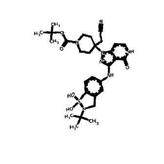 CC(C)(C)OC(=O)N1CCC(CC#N)(n2nc(Nc3ccc4c(c3)CN(C(C)(C)C)S4(O)O)c3c(=O)[nH]ccc32)CC1